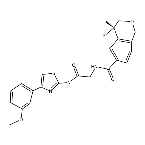 COc1cccc(-c2csc(NC(=O)CNC(=O)c3ccc4c(c3)[C@](C)(F)COC4)n2)c1